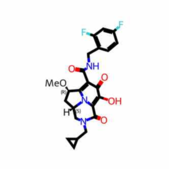 CO[C@@H]1C[C@H]2CN(CC3CC3)C(=O)c3c(O)c(=O)c(C(=O)NCc4ccc(F)cc4F)c1n32